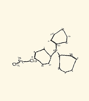 C1CCC(P(C2CCCCC2)C2CCCCC2)CC1.[Cl][Pt][Cl]